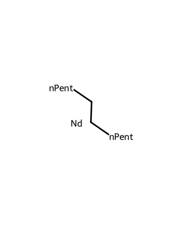 [CH2]CCCCCCCCCCC.[Nd]